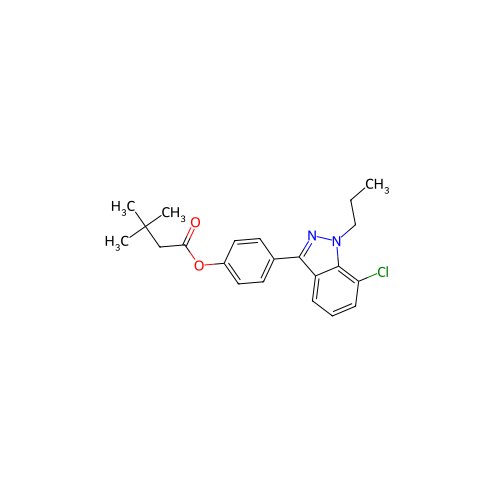 CCCn1nc(-c2ccc(OC(=O)CC(C)(C)C)cc2)c2cccc(Cl)c21